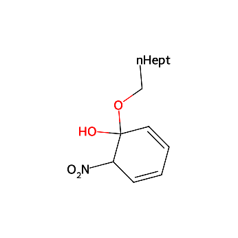 CCCCCCCCOC1(O)C=CC=CC1[N+](=O)[O-]